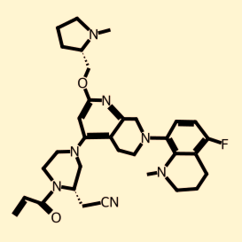 C=CC(=O)N1CCN(c2cc(OC[C@@H]3CCCN3C)nc3c2CCN(c2ccc(F)c4c2N(C)CCC4)C3)C[C@@H]1CC#N